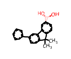 CC1(C)c2ccc(B(O)O)cc2-c2cc(-c3ccccc3)ccc21